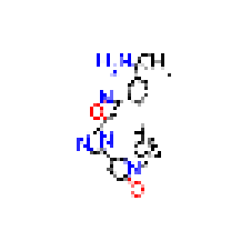 CC(N)c1cccc(-c2cc(-c3cncc(-c4ccc(=O)n(CC5(C)CC5)c4)n3)on2)c1